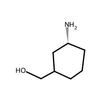 N[C@@H]1CCCC(CO)C1